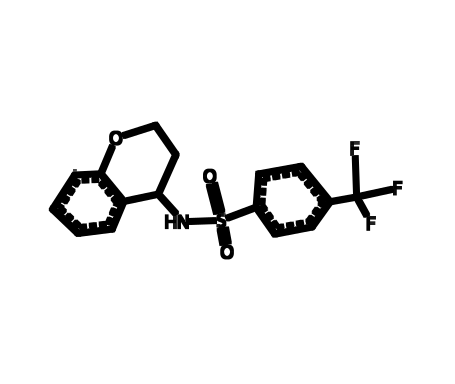 O=S(=O)(NC1CCOc2[c]cccc21)c1ccc(C(F)(F)F)cc1